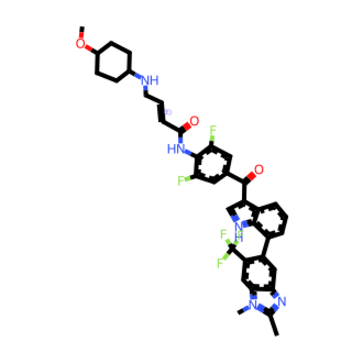 COC1CCC(NC/C=C/C(=O)Nc2c(F)cc(C(=O)c3c[nH]c4c(-c5cc6nc(C)n(C)c6cc5C(F)(F)F)cccc34)cc2F)CC1